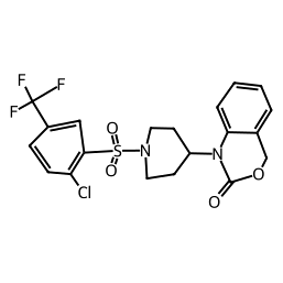 O=C1OCc2ccccc2N1C1CCN(S(=O)(=O)c2cc(C(F)(F)F)ccc2Cl)CC1